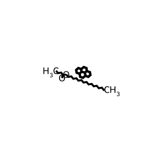 CCCCCCCCCCCCCCCCOC(=O)CCC.c1cc2ccc3cccc4ccc(c1)c2c34